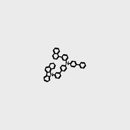 C1=Cc2c(ccc3c4ccccc4n(-c4cccc(-c5ccc(N(c6ccc(-c7ccccc7)cc6)c6cccc(-c7cccc8ccccc78)c6)cc5)c4)c23)CC1